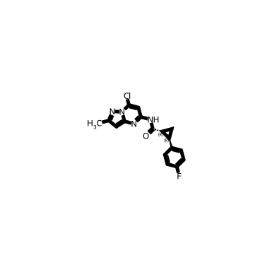 Cc1cc2nc(NC(=O)[C@@H]3C[C@H]3c3ccc(F)cc3)cc(Cl)n2n1